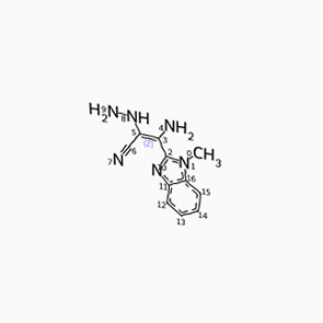 Cn1c(/C(N)=C(\C#N)NN)nc2ccccc21